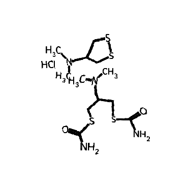 CN(C)C(CSC(N)=O)CSC(N)=O.CN(C)C1CSSC1.Cl